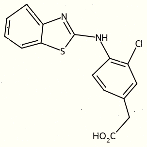 O=C(O)Cc1ccc(Nc2nc3ccccc3s2)c(Cl)c1